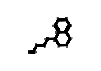 OCCOC1CCCc2ccccc21